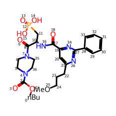 CCCCOC(=O)N1CCN(C(=O)C(CP(=O)(O)O)NC(=O)c2cc(CCCOC)nc(-c3ccccc3)n2)CC1